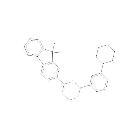 CC1(C)c2ccccc2-c2ccc(C3NCNC(c4cccc(C5CCCCC5)c4)N3)cc21